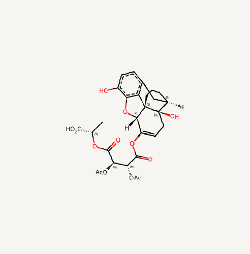 CC(=O)O[C@@H](C(=O)OC1=CC[C@@]2(O)[C@@H]3CCC[C@@]24c2c(ccc(O)c2O[C@@H]14)C3)[C@@H](OC(C)=O)C(=O)O[C@@H](C)C(=O)O